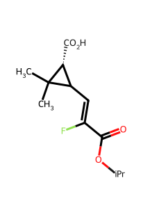 CC(C)OC(=O)C(F)=CC1[C@@H](C(=O)O)C1(C)C